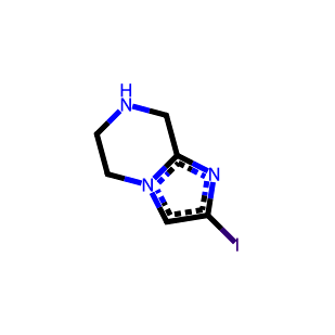 Ic1cn2c(n1)CNCC2